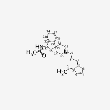 C=CC1C=CC[C@@H]1CCCN1CCC2(CC1)CC(NC(C)=O)c1ccccc12